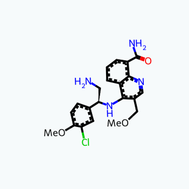 COCc1cnc2c(C(N)=O)cccc2c1N[C@H](CN)c1ccc(OC)c(Cl)c1